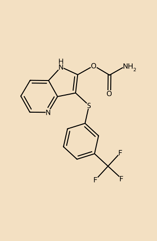 NC(=O)Oc1[nH]c2cccnc2c1Sc1cccc(C(F)(F)F)c1